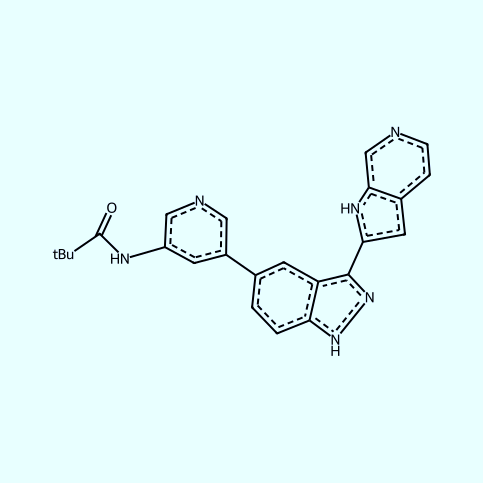 CC(C)(C)C(=O)Nc1cncc(-c2ccc3[nH]nc(-c4cc5ccncc5[nH]4)c3c2)c1